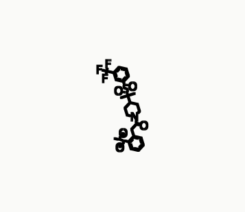 CC(C)(C1CCN(C(=O)Cc2ccccc2S(C)(=O)=O)CC1)S(=O)(=O)c1cccc(C(F)(F)F)c1